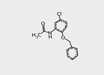 CC(=O)Nc1cc(Cl)ccc1OCc1ccccc1